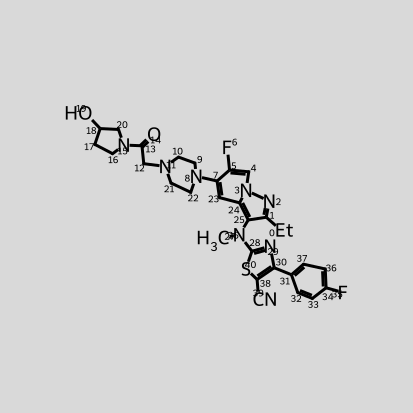 CCc1nn2cc(F)c(N3CCN(CC(=O)N4CCC(O)C4)CC3)cc2c1N(C)c1nc(-c2ccc(F)cc2)c(C#N)s1